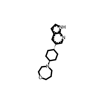 c1cc2cc([C@H]3CC[C@H](N4CCCOCC4)CC3)cnc2[nH]1